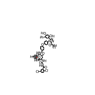 CCNC(=O)c1nnc(-c2cc(C(C)C)c(O)cc2O)n1-c1ccc(Oc2ccc(C(=O)NC3CC45OB(O[C@H]4C[C@@H]4C[C@H]5C4(C)C)[C@H](NC(=O)CNC(=O)c4cc(Cl)ccc4Cl)CC3C)cc2)cc1